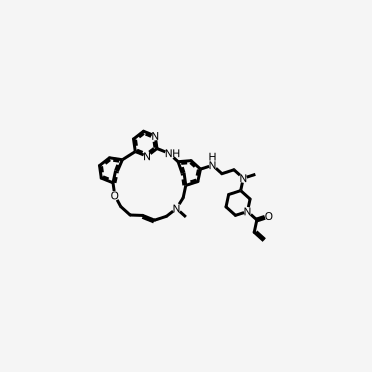 C=CC(=O)N1CCCC(N(C)CCNc2cc3cc(c2)Nc2nccc(n2)-c2cccc(c2)OCC/C=C/CN(C)C3)C1